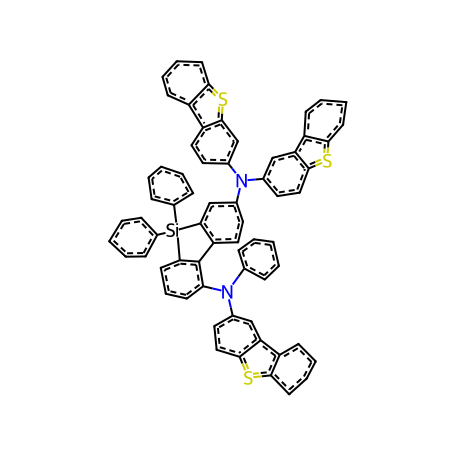 c1ccc(N(c2ccc3sc4ccccc4c3c2)c2cccc3c2-c2ccc(N(c4ccc5c(c4)sc4ccccc45)c4ccc5sc6ccccc6c5c4)cc2[Si]3(c2ccccc2)c2ccccc2)cc1